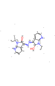 CCN1c2ncccc2/C(=N/N=C2\C(=O)N(C(C)C)c3ncccc32)C1O